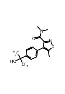 Cc1onc(C(=O)N(C)C)c1-c1ccc(C(O)(C(F)(F)F)C(F)(F)F)cc1